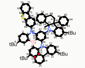 CC(C)(C)c1ccc2c(c1)B1c3cc(C(C)(C)C)ccc3N(c3ccc(C(C)(C)C)cc3-c3ccccc3)c3cc(N4c5ccc(C(C)(C)C)cc5C5(c6ccccc6)CCc6ccccc6C45C)cc(c31)N2c1ccc2c(c1)sc1ccccc12